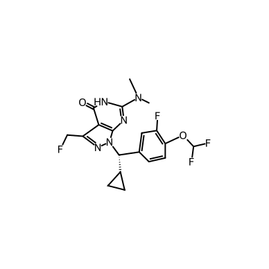 CN(C)c1nc2c(c(CF)nn2[C@H](c2ccc(OC(F)F)c(F)c2)C2CC2)c(=O)[nH]1